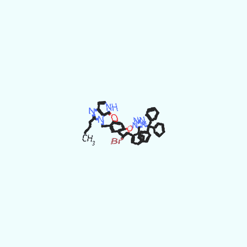 CCCCc1nc2cc[nH]c(=O)c2n1Cc1ccc2oc(-c3ccccc3-c3nnnn3C(c3ccccc3)(c3ccccc3)c3ccccc3)c(Br)c2c1